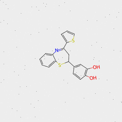 Oc1ccc(C2CC(c3cccs3)=Nc3ccccc3S2)cc1O